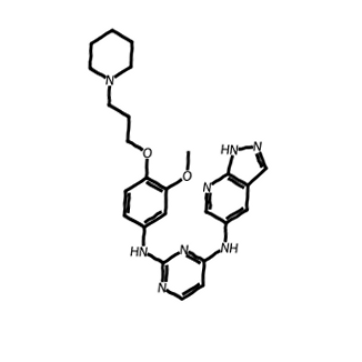 COc1cc(Nc2nccc(Nc3cnc4[nH]ncc4c3)n2)ccc1OCCCN1CCCCC1